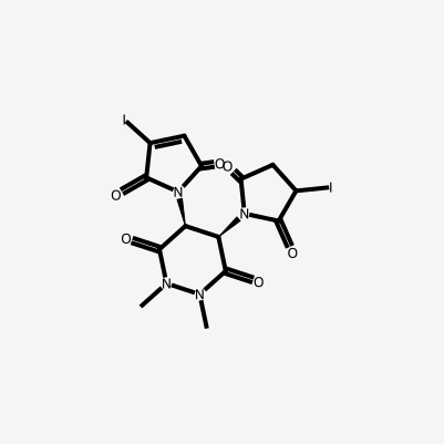 CN1C(=O)[C@@H](N2C(=O)C=C(I)C2=O)[C@@H](N2C(=O)CC(I)C2=O)C(=O)N1C